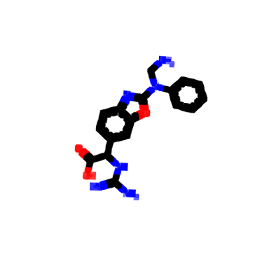 N=C(N)NC(C(=O)O)c1ccc2nc(N(CN)c3ccccc3)oc2c1